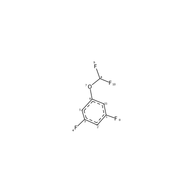 Fc1[c]c(F)cc(OC(F)F)c1